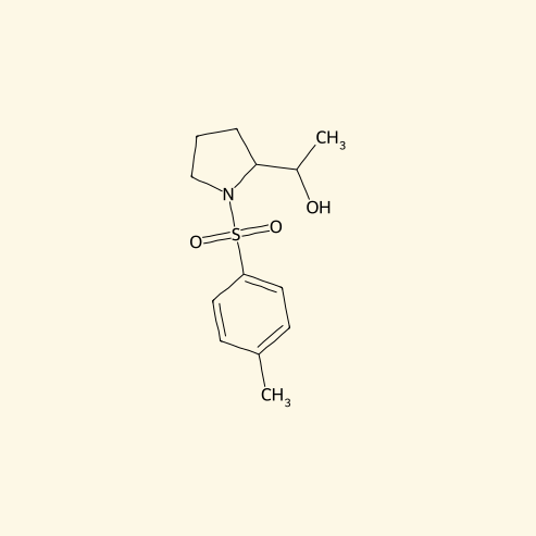 Cc1ccc(S(=O)(=O)N2CCCC2C(C)O)cc1